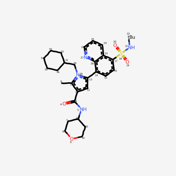 Cc1c(C(=O)NC2CCOCC2)cc(-c2ccc(S(=O)(=O)NC(C)(C)C)c3cccnc23)n1CC1CCCCC1